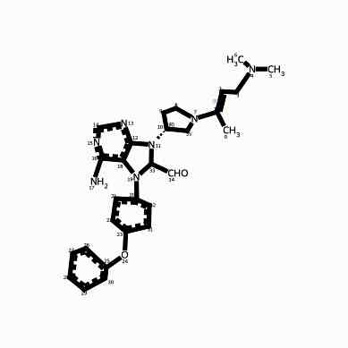 C/C(=C\CN(C)C)N1CC[C@@H](N2c3ncnc(N)c3N(c3ccc(Oc4ccccc4)cc3)C2C=O)C1